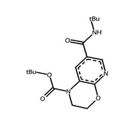 CC(C)(C)NC(=O)c1cnc2c(c1)N(C(=O)OC(C)(C)C)CCO2